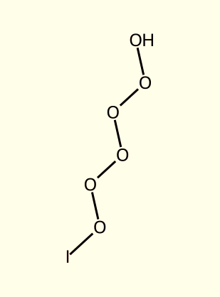 OOOOOOI